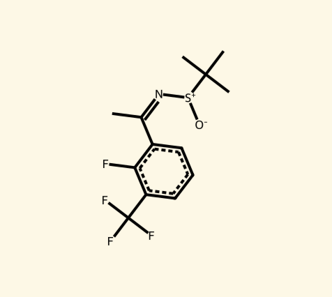 C/C(=N/[S+]([O-])C(C)(C)C)c1cccc(C(F)(F)F)c1F